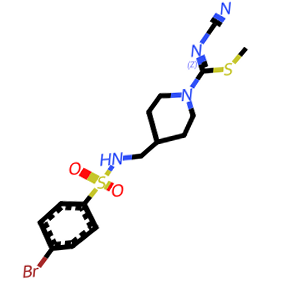 CS/C(=N\C#N)N1CCC(CNS(=O)(=O)c2ccc(Br)cc2)CC1